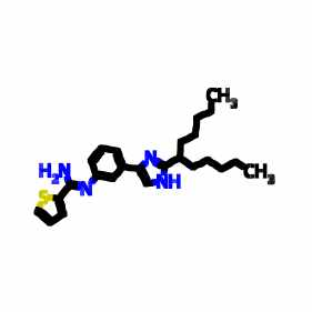 CCCCCC(CCCCC)c1nc(-c2cccc(/N=C(\N)c3cccs3)c2)c[nH]1